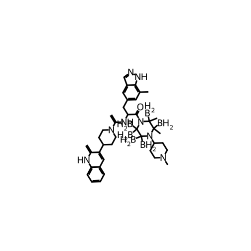 BC1(B)N(C(=O)C(Cc2cc(C)c3[nH]ncc3c2)NC(=C)N2CCC(C3=Cc4ccccc4NC3=C)CC2)C(B)(C)C(B)(C)N(C2CCN(C)CC2)C1(B)B